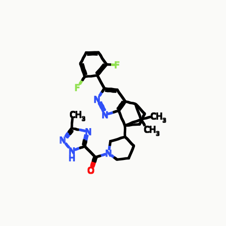 Cc1n[nH]c(C(=O)N2CCCC(C34CCC(c5cc(-c6c(F)cccc6F)nnc53)C4(C)C)C2)n1